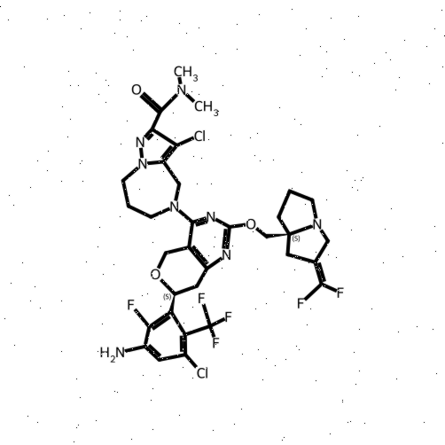 CN(C)C(=O)c1nn2c(c1Cl)CN(c1nc(OC[C@@]34CCCN3CC(=C(F)F)C4)nc3c1CO[C@H](c1c(F)c(N)cc(Cl)c1C(F)(F)F)C3)CCC2